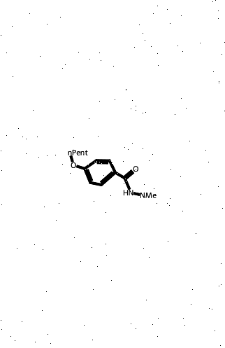 CCCCCOc1ccc(C(=O)NNC)cc1